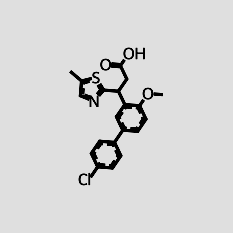 COc1ccc(-c2ccc(Cl)cc2)cc1C(CC(=O)O)c1ncc(C)s1